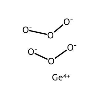 [Ge+4].[O-]O[O-].[O-]O[O-]